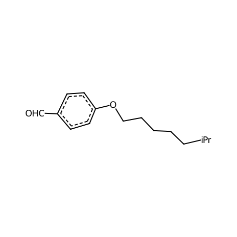 CC(C)CCCCCOc1ccc(C=O)cc1